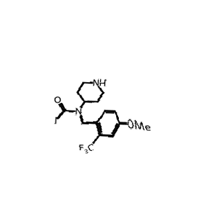 COc1ccc(CN(C(=O)I)C2CCNCC2)c(C(F)(F)F)c1